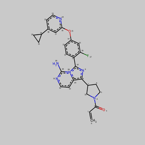 C=CC(=O)N1CCC(c2nc(-c3ccc(Oc4cc(C5CC5)ccn4)cc3F)n3c(N)nccc23)C1